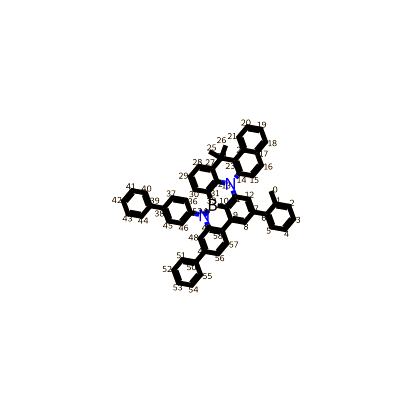 Cc1ccccc1-c1cc2c3c(c1)N1c4ccc5ccccc5c4C(C)(C)c4cccc(c41)B3N(c1ccc(-c3ccccc3)cc1)c1cc(-c3ccccc3)ccc1-2